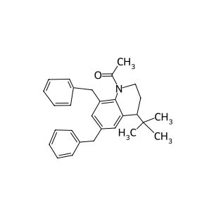 CC(=O)N1CCC(C(C)(C)C)c2cc(Cc3ccccc3)cc(Cc3ccccc3)c21